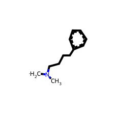 [CH2]N(C)CCCCc1ccccc1